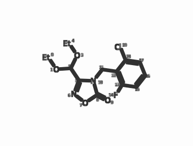 CCOC(OCC)c1noc(=O)n1Cc1c(F)cccc1Cl